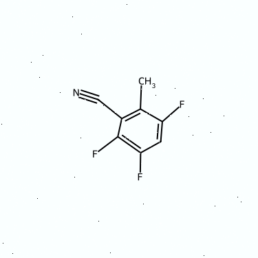 Cc1c(F)cc(F)c(F)c1C#N